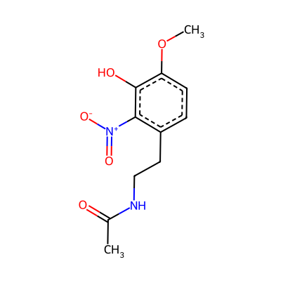 COc1ccc(CCNC(C)=O)c([N+](=O)[O-])c1O